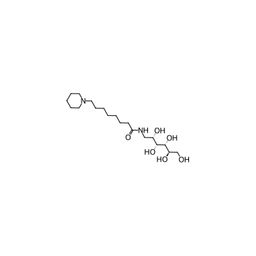 O=C(CCCCCCCN1CCCCC1)NC[C@H](O)[C@@H](O)[C@H](O)[C@H](O)CO